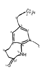 Cc1cc(CC(=O)O)cc2c1NC(=O)C2